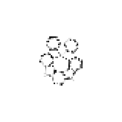 c1ccc(C2(c3ccccc3)c3cccc4oc5ccc6sc7cccc2c7c6c5c34)cc1